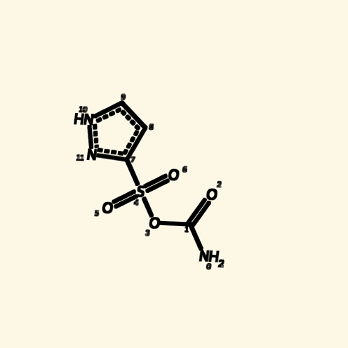 NC(=O)OS(=O)(=O)c1cc[nH]n1